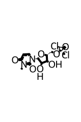 Cn1c(=O)ccn([C@@H]2O[C@H](COP(=O)(Cl)Cl)C(O)C2O)c1=O